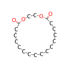 O=C1CCCCCCCCCCCCCCC(=O)OCCO1